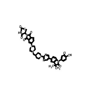 CC1(C)C(=O)N(c2ccc(C#N)c(Cl)c2)c2ccc(-c3cnc(N4CCC(CN5CCN(c6ccc7c(c6)C(=O)N(C6CCC(=O)NC6=O)C7=O)CC5)CC4)nc3)cc21